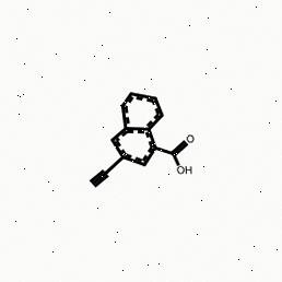 C#Cc1cc(C(=O)O)c2ccccc2c1